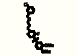 COc1ccc(C(C)(C)C2=C(F)C=C(SCCOCc3cccc(Cl)c3)[CH]C2)cc1OC